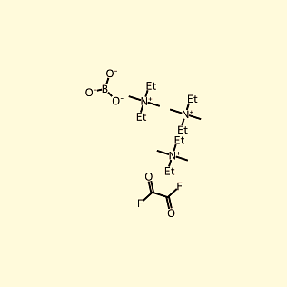 CC[N+](C)(C)CC.CC[N+](C)(C)CC.CC[N+](C)(C)CC.O=C(F)C(=O)F.[O-]B([O-])[O-]